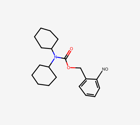 O=Nc1ccccc1COC(=O)N(C1CCCCC1)C1CCCCC1